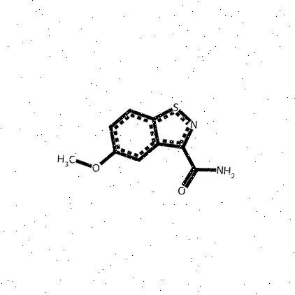 COc1ccc2snc(C(N)=O)c2c1